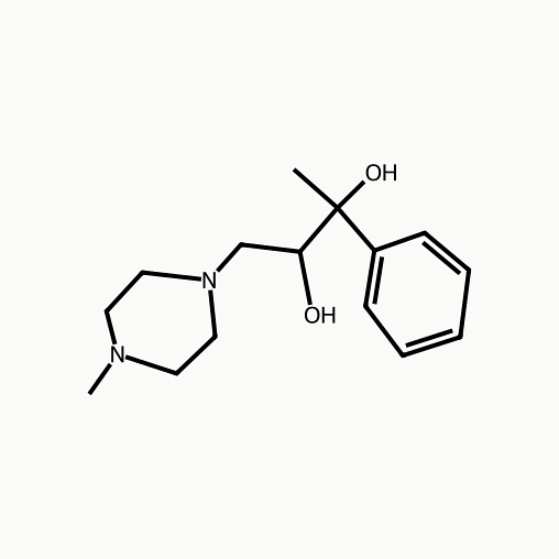 CN1CCN(CC(O)C(C)(O)c2ccccc2)CC1